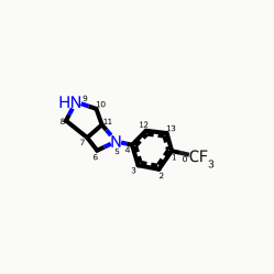 FC(F)(F)c1ccc(N2CC3CNCC32)cc1